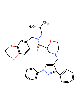 CC(C)CN(Cc1ccc2c(c1)OCCO2)C(=O)C1CN(Cc2cn(-c3ccccc3)nc2-c2ccccc2)CCO1